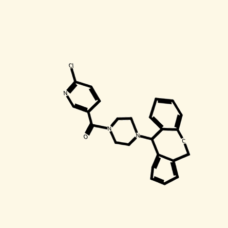 O=C(c1ccc(Cl)nc1)N1CCN(C2c3ccccc3CCc3ccccc32)CC1